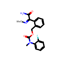 CON=C(C(N)=O)c1ccccc1COC(=O)N(C)c1ccccc1F